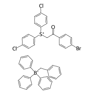 O=C(C[S+](c1ccc(Cl)cc1)c1ccc(Cl)cc1)c1ccc(Br)cc1.c1ccc(C[B-](c2ccccc2)(c2ccccc2)c2ccccc2)cc1